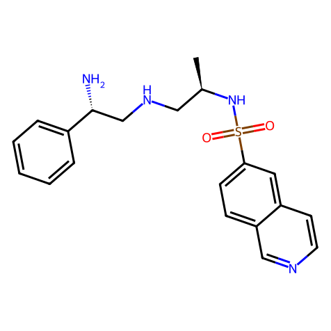 C[C@H](CNC[C@@H](N)c1ccccc1)NS(=O)(=O)c1ccc2cnccc2c1